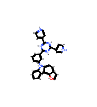 C1=CC(c2nc(-c3ccncc3)nc(-c3cccc(-n4c5ccccc5c5c6occc6ccc54)c3)n2)=CCN1